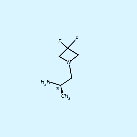 C[C@@H](N)CN1CC(F)(F)C1